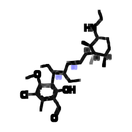 CCNC1CC[C@@H](C)[C@@](C)(C/C=C/C(CC)=C(\CC)c2c(O)c(C=O)c(C)c(Cl)c2OC)[C@H]1C